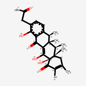 CCCCC(=O)Cc1ccc2c(c1O)C(=O)C1=C(O)[C@@]3(O)C(=O)C(C(C)=O)=C(C)C[C@@]3(C)[C@H](C)[C@@]1(C)[C@@H]2C